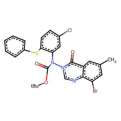 Cc1cc(Br)c2ncn(N(C(=O)OC(C)(C)C)c3cc(Cl)ccc3Sc3ccccc3)c(=O)c2c1